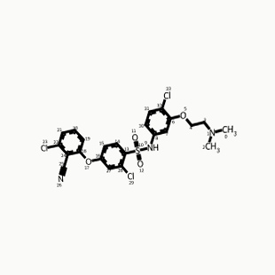 CN(C)CCOc1cc(NS(=O)(=O)c2ccc(Oc3cccc(Cl)c3C#N)cc2Cl)ccc1Cl